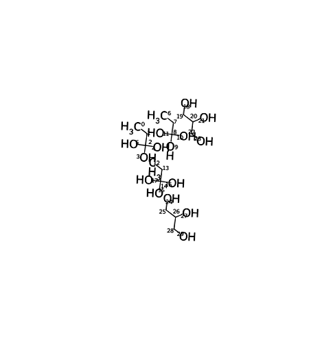 CCC(O)(O)O.CCC(O)(O)O.CCC(O)(O)O.OCC(O)CO.OCC(O)CO